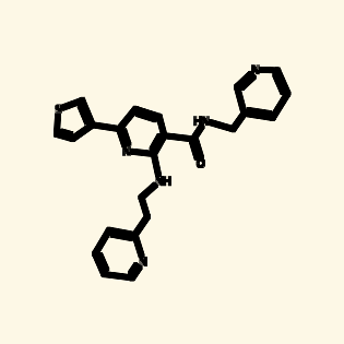 O=C(NCc1cccnc1)c1ccc(-c2ccsc2)nc1NCCc1ccccn1